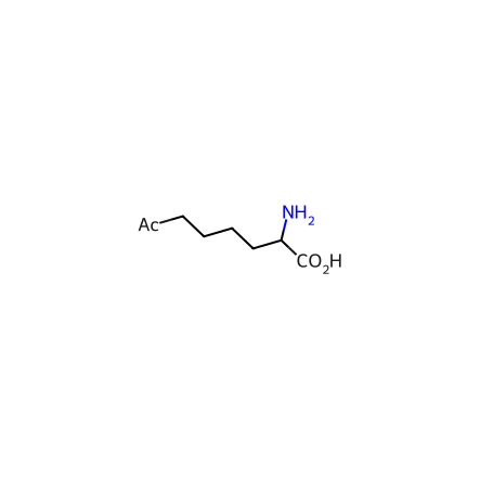 CC(=O)CCCCC(N)C(=O)O